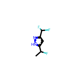 CC(F)c1cc(C(F)F)n[nH]1